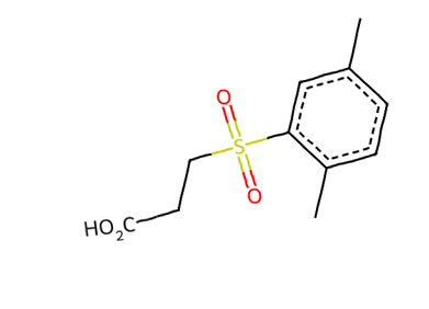 Cc1ccc(C)c(S(=O)(=O)CCC(=O)O)c1